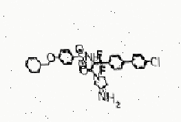 N[C@H]1CCN(C(=O)[C@H](NS(=O)(=O)c2ccc(OCC3CCCCC3)cc2)C(F)(F)c2ccc(-c3ccc(Cl)cc3)cc2)C1